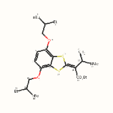 CCCCC(CC)COc1ccc(OCC(CC)CCCC)c2c1SC(=C(C(=O)OCC)C(C)NC)S2